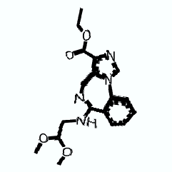 CCOC(=O)c1ncn2c1CN=C(NCC(OC)OC)c1ccccc1-2